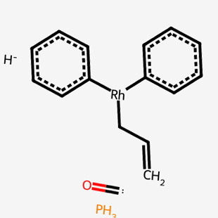 C=C[CH2][Rh]([c]1ccccc1)[c]1ccccc1.P.[C]=O.[H-]